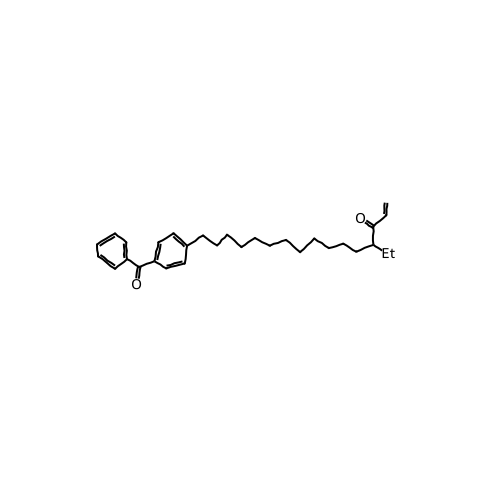 C=CC(=O)C(CC)CCCCCCCCCCCCc1ccc(C(=O)c2ccccc2)cc1